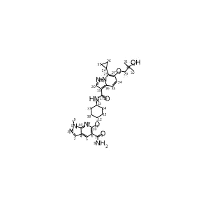 Cn1ncc2cc(C(N)=O)c(O[C@H]3CC[C@H](NC(=O)c4cnn5c(C6CC6)c(OCC(C)(C)O)ccc45)CC3)nc21